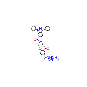 C=C(N/N=N\N)c1ccc2c(c1)C(=O)CC1(CCN(C(=O)c3ccc4c(-c5ccccc5)nn(-c5ccccc5)c4c3)CC1)O2